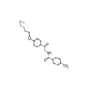 CCCCCOc1ccc(C(=O)CNC(=O)c2ccc(C)cc2)cc1